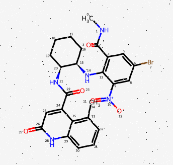 CNC(=O)c1cc(Br)cc([N+](=O)[O-])c1N[C@@H]1CCCC[C@@H]1NC(=O)c1cc(=O)[nH]c2cccc(C)c12